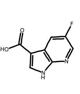 O=C(O)c1c[nH]c2ncc(F)cc12